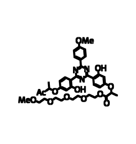 COCCOCCOCCOCCOC(=O)C(C)Oc1ccc(-c2nc(-c3ccc(OC)cc3)nc(-c3ccc(OC(C)C(C)=O)cc3O)n2)c(O)c1